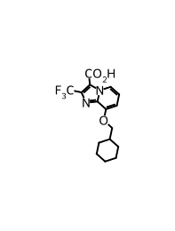 O=C(O)c1c(C(F)(F)F)nc2c(OCC3CCCCC3)cccn12